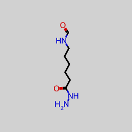 NNC(=O)CCCCCNC=O